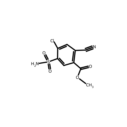 COC(=O)c1cc(S(N)(=O)=O)c(Cl)cc1C#N